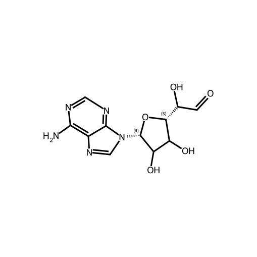 Nc1ncnc2c1ncn2[C@@H]1O[C@H](C(O)C=O)C(O)C1O